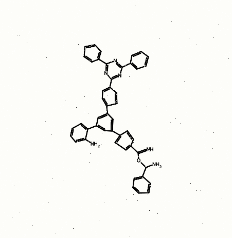 N=C(OC(N)c1ccccc1)c1ccc(-c2cc(-c3ccc(-c4nc(-c5ccccc5)nc(-c5ccccc5)n4)cc3)cc(-c3ccccc3N)c2)cc1